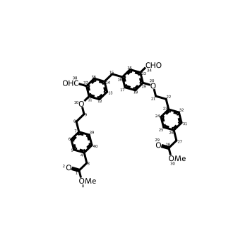 COC(=O)Cc1ccc(CCOc2ccc(Cc3ccc(OCCc4ccc(CC(=O)OC)cc4)c(C=O)c3)cc2C=O)cc1